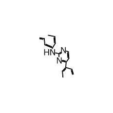 C=C/C=C(\C=C/C)Nc1nccc(/C(C=C)=C/C)n1